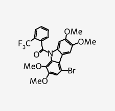 COc1cc2c3c(Br)cc(OC)c(OC)c3n(C(=O)c3ccccc3C(F)(F)F)c2cc1OC